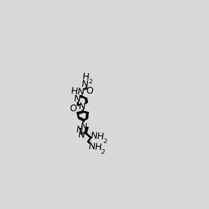 NC[C@@H](N)c1cn(-c2ccc(-n3ccc(NC(N)=O)nc3=O)cc2)nn1